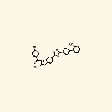 Cc1ccccc1-c1ccc(-c2nc(-c3ccc(CC(NC(=O)c4ccc(C(C)(C)C)cc4)C(=O)O)cc3)no2)cc1